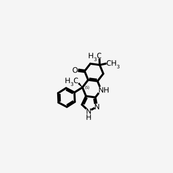 CC1(C)CC(=O)C2=C(C1)Nc1n[nH]cc1[C@]2(C)c1ccccc1